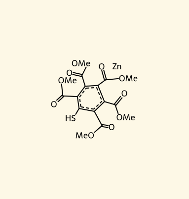 COC(=O)c1c(S)c(C(=O)OC)c(C(=O)OC)c(C(=O)OC)c1C(=O)OC.[Zn]